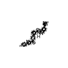 CN1CCN(c2ccc(C(=O)N3CCN(c4cc(C(=O)Nc5ncc6ccc(-c7cnn(C)c7)cc6n5)ccn4)CC3)cn2)CC1